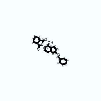 O=C1c2ccccc2C(=O)N1[C@H]1C=Cc2cc(OCc3ccccc3)ccc2C1O